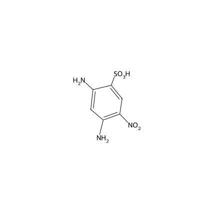 Nc1cc(N)c(S(=O)(=O)O)cc1[N+](=O)[O-]